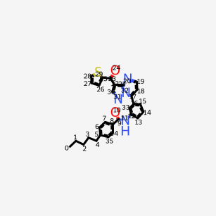 CCCCCc1ccc(C(=O)Nc2cccc(-c3ccnc4c(C(=O)c5cccs5)cnn34)c2)cc1